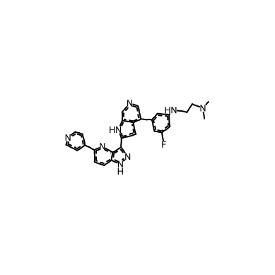 CN(C)CCNc1cc(F)cc(-c2cncc3[nH]c(-c4n[nH]c5ccc(-c6ccncc6)nc45)cc23)c1